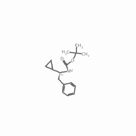 CC(C)(C)OC(=O)N[C@@H](Cc1ccccc1)C1CC1